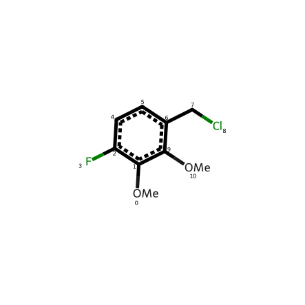 COc1c(F)ccc(CCl)c1OC